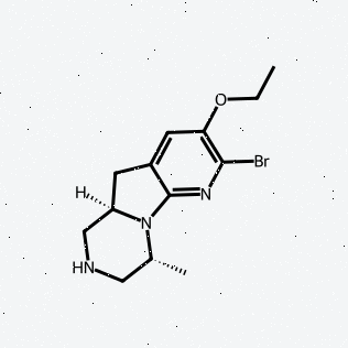 CCOc1cc2c(nc1Br)N1[C@@H](CNC[C@H]1C)C2